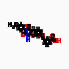 Cc1ccc(N2C(=O)NC(=O)/C(=C\c3ccc(OCc4cccc(C(=O)O)c4)cc3)C2=O)cc1